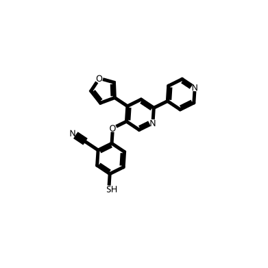 N#Cc1cc(S)ccc1Oc1cnc(-c2ccncc2)cc1-c1ccoc1